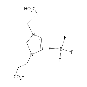 F[B-](F)(F)F.O=C(O)CCN1C=CN(CCC(=O)O)C1